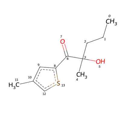 CCCC(C)(O)C(=O)c1cc(C)cs1